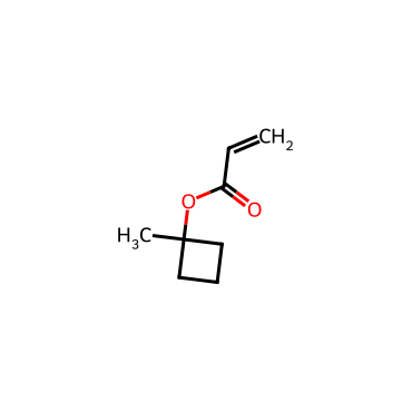 C=CC(=O)OC1(C)CCC1